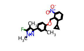 Cc1cc(-c2nn(C)c(F)c2C)ccc1OCc1c(C2CC2)cccc1[N+](=O)[O-]